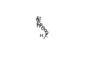 C=CCOc1ccc(C2CCC(c3ccc(-c4ccc(OCC)cc4)c(C(F)F)c3F)CO2)cc1